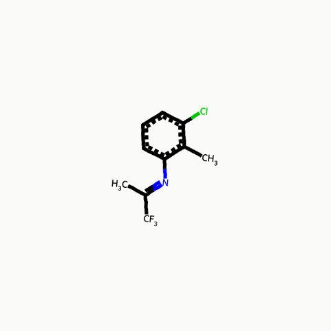 CC(=Nc1cccc(Cl)c1C)C(F)(F)F